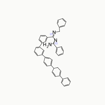 N/C(=N\C(=N/Cc1ccccc1)c1cccc(-c2cccc(-c3ccc(C4C=CC(c5ccccc5)=CC4)cc3)c2)c1)c1ccccc1